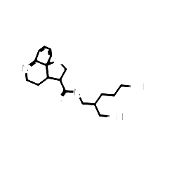 CCCCC(CC)CNC(=O)C1CSC23C=CC=CC2=NCCC13